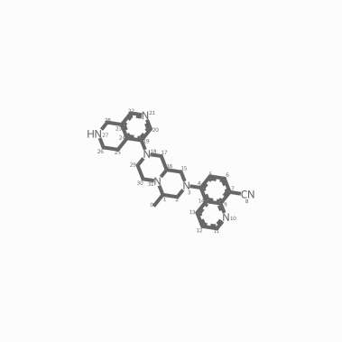 CC1CN(c2ccc(C#N)c3ncccc23)CC2CN(c3cncc4c3CCNC4)CCN12